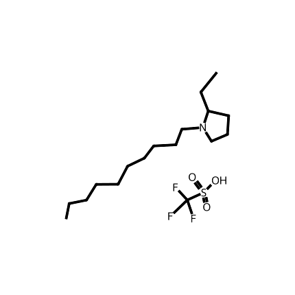 CCCCCCCCCCN1CCCC1CC.O=S(=O)(O)C(F)(F)F